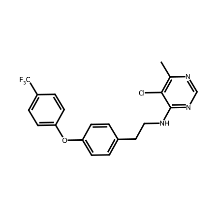 Cc1ncnc(NCCc2ccc(Oc3ccc(C(F)(F)F)cc3)cc2)c1Cl